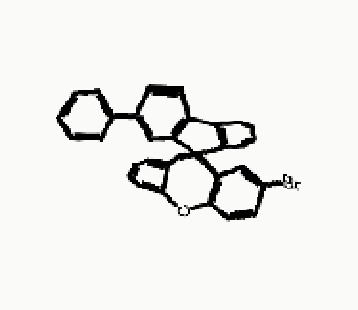 Brc1ccc2c(c1)C1(C3=C(CCC=C3)c3ccc(-c4ccccc4)cc31)c1ccccc1O2